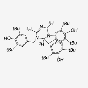 [2H]C1=NC([2H])N(Cc2cc(C(C)(C)C)c(O)c(C(C)(C)C)c2)C([2H])(Cc2cc(C(C)(C)C)c(O)c(C(C)(C)C)c2)N1Cc1cc(C(C)(C)C)c(O)c(C(C)(C)C)c1